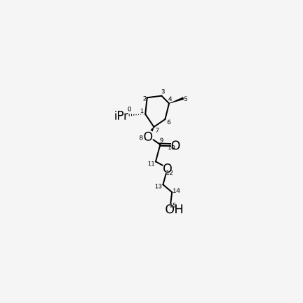 CC(C)[C@@H]1CC[C@@H](C)C[C@H]1OC(=O)COCCO